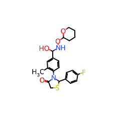 Cc1cc(C(O)NOC2CCCCO2)ccc1N1C(=O)CSC1c1ccc(F)cc1